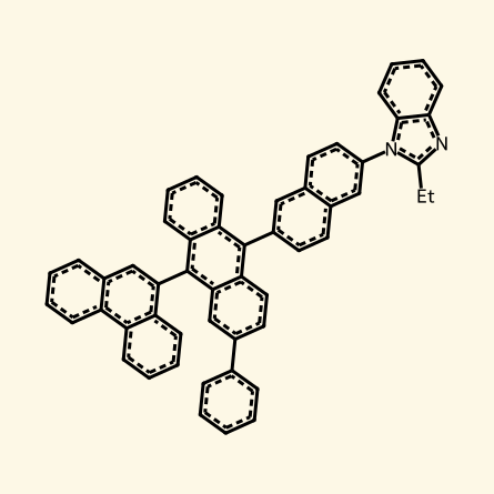 CCc1nc2ccccc2n1-c1ccc2cc(-c3c4ccccc4c(-c4cc5ccccc5c5ccccc45)c4cc(-c5ccccc5)ccc34)ccc2c1